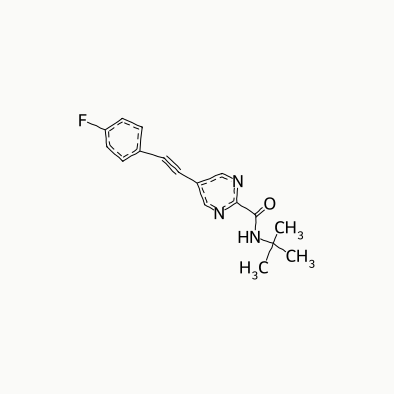 CC(C)(C)NC(=O)c1ncc(C#Cc2ccc(F)cc2)cn1